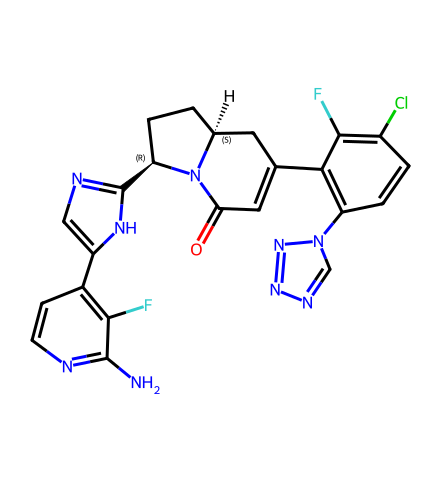 Nc1nccc(-c2cnc([C@H]3CC[C@H]4CC(c5c(-n6cnnn6)ccc(Cl)c5F)=CC(=O)N43)[nH]2)c1F